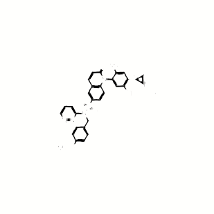 COc1ccc(CN(c2cccnn2)S(=O)(=O)c2ccc3c(ccc(=O)n3-c3cc(Cl)c([C@@H]4C[C@H]4C(F)(F)F)cc3OC)c2)cc1